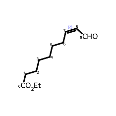 CCOC(=O)CCCCCC/C=C\C=O